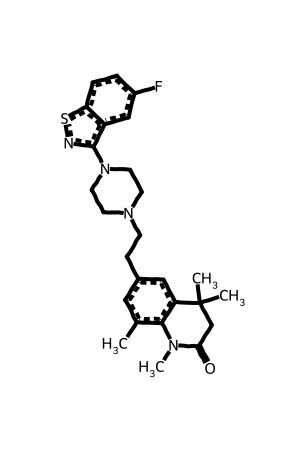 Cc1cc(CCN2CCN(c3nsc4ccc(F)cc34)CC2)cc2c1N(C)C(=O)CC2(C)C